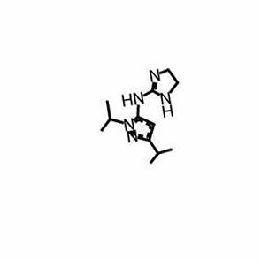 CC(C)c1cc(NC2=NCCN2)n(C(C)C)n1